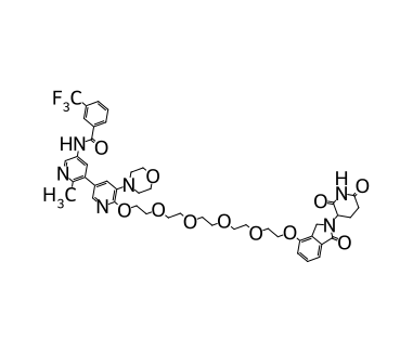 Cc1ncc(NC(=O)c2cccc(C(F)(F)F)c2)cc1-c1cnc(OCCOCCOCCOCCOCCOc2cccc3c2CN(C2CCC(=O)NC2=O)C3=O)c(N2CCOCC2)c1